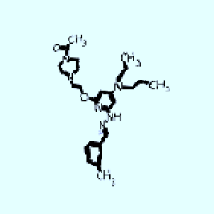 CCCN(CCC)c1cc(N/N=C/c2cccc(C)c2)nc(OCCN2CCN(C(C)=O)CC2)c1